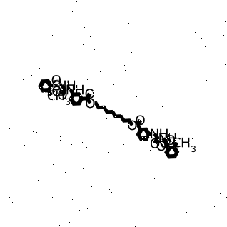 Cc1ccccc1S(=O)(=O)NC(=O)Nc1cccc(C(=O)OCCCCCCCCCOC(=O)c2cccc(NC(=O)NS(=O)(=O)c3ccccc3C)c2)c1